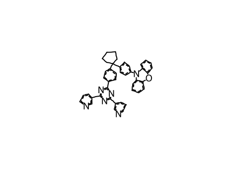 c1cncc(-c2nc(-c3ccc(C4(c5ccc(N6c7ccccc7Oc7ccccc76)cc5)CCCCC4)cc3)nc(-c3cccnc3)n2)c1